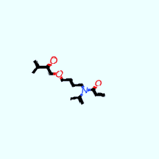 C=CC(=O)N(CCCCOCC(=O)C(C)C)C(C)C